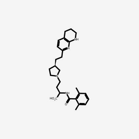 Cc1cccc(C)c1C(=O)NC(CCN1CC[C@@H](CCc2ccc3c(n2)NCCC3)C1)C(=O)O